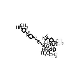 CNc1ccc(-c2nc3ccc(OCCOCCOCC(=O)NC(C(=O)N4CCC[C@H]4C(=O)N[C@@H](C)c4ccc(-c5scnc5C)cc4)C(C)(C)C)cc3s2)cc1